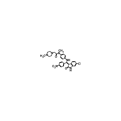 CN1CCN(CC(=O)N(C)c2ccc(NC(=C3C(=O)Nc4cc(Cl)ccc43)c3ccc([N+](=O)[O-])cc3)cc2)CC1